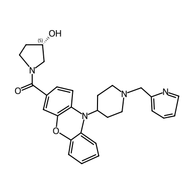 O=C(c1ccc2c(c1)Oc1ccccc1N2C1CCN(Cc2ccccn2)CC1)N1CC[C@H](O)C1